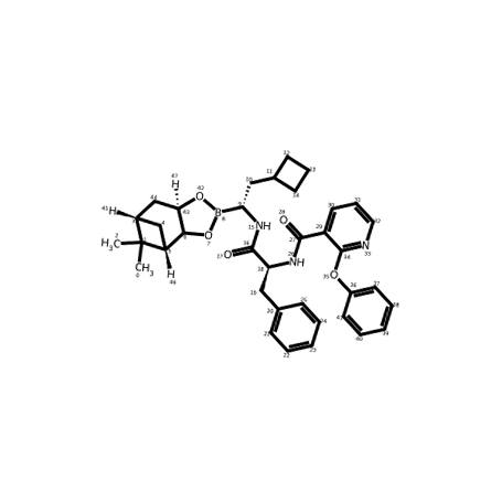 CC1(C)[C@H]2C[C@@H]1C1OB([C@H](CC3CCC3)NC(=O)[C@H](Cc3ccccc3)NC(=O)c3cccnc3Oc3ccccc3)O[C@@H]1C2